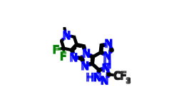 CN1Cc2cn3c(-c4cnc[nH]4)c(-c4nc(C(F)(F)F)n[nH]4)nc3nc2C(F)(F)C1